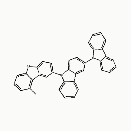 Cc1cccc2oc3ccc(-n4c5ccccc5c5cc(-n6c7ccccc7c7ccccc76)ccc54)cc3c12